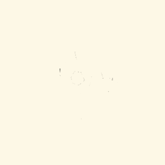 C=C(C)C1CCC(C)=CC1c1c(O)cc(CCCCC)c(S(=O)(=O)C(CO)C(N)=O)c1O